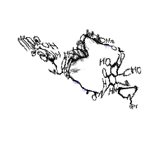 CO[C@H]1/C=C/OC(C)(C)Oc2c(C)c(O)c3c(c2C=O)C2=NC4(CCN(CC(C)C)CC4)NC2=C(NC(=O)/C(C)=C\C=C\[C@H](C)[C@H](OC(=O)CN(C)CC(=O)NC(P(=O)(O)O)P(=O)(O)O)[C@@H](C)[C@@H](O)[C@@H](C)[C@H](OC(C)=O)[C@@H]1C)C3=O